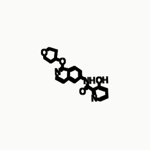 O=C(Nc1ccc2c(OC3CCOCC3)nccc2c1)c1ncccc1O